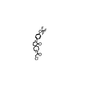 O=C(CCl)N1CCC2(CC1)CCN(c1ccc(OC(F)(F)F)cc1)C2=O